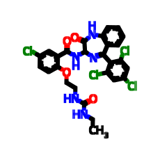 CCNC(=O)NCCOc1ccc(Cl)cc1C(=O)NC1N=C(c2c(Cl)cc(Cl)cc2Cl)c2ccccc2NC1=O